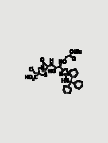 CC(C)(C)OC(=O)CON=C(C(=O)NC1C(=O)N2CC(CCl)(C(=O)O)CS[C@H]12)c1csc(NC(c2ccccc2)(c2ccccc2)c2ccccc2)n1